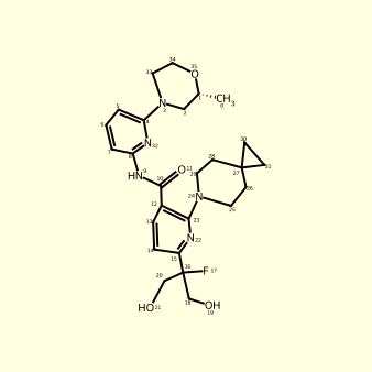 C[C@@H]1CN(c2cccc(NC(=O)c3ccc(C(F)(CO)CO)nc3N3CCC4(CC3)CC4)n2)CCO1